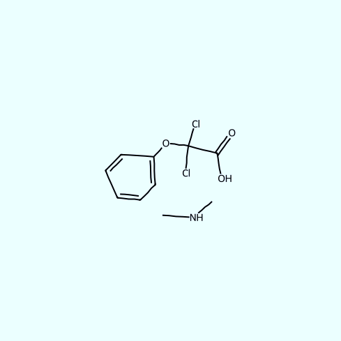 CNC.O=C(O)C(Cl)(Cl)Oc1ccccc1